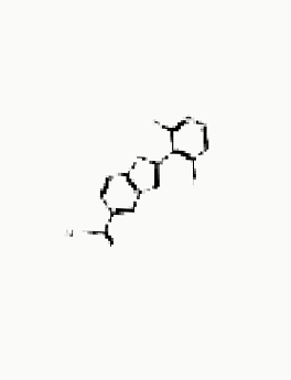 COC(=O)c1ccc2[nH]c(-c3c(Cl)cccc3Cl)cc2c1